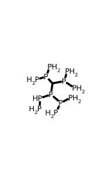 PPP(C(P(P)P)P(P)P)P(P)P